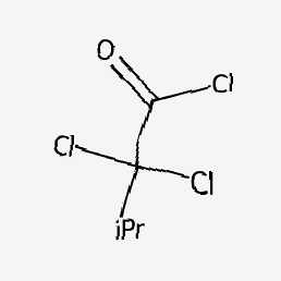 CC(C)C(Cl)(Cl)C(=O)Cl